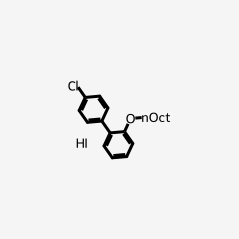 CCCCCCCCOc1ccccc1-c1ccc(Cl)cc1.I